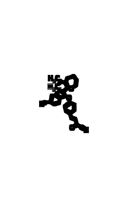 CC(C)C1=C(c2sc3cc(C#N)ccc3c2Oc2ccc(/C=C/C(=O)C#N)cc2)OC=CCC1